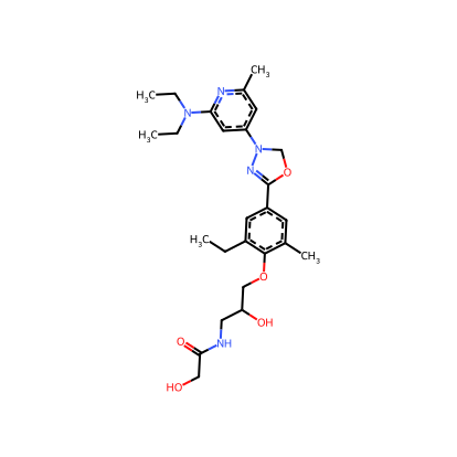 CCc1cc(C2=NN(c3cc(C)nc(N(CC)CC)c3)CO2)cc(C)c1OCC(O)CNC(=O)CO